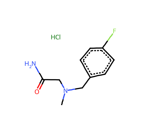 CN(CC(N)=O)Cc1ccc(F)cc1.Cl